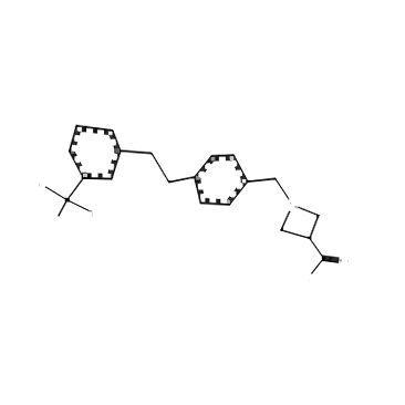 O=C(O)C1CN(Cc2ccc(CCc3cccc(C(F)(F)F)c3)cc2)C1